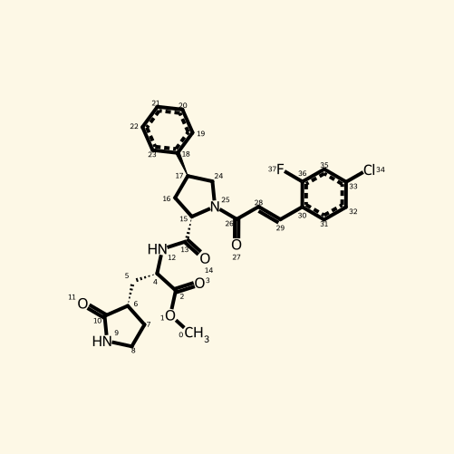 COC(=O)[C@H](C[C@@H]1CCNC1=O)NC(=O)[C@@H]1C[C@@H](c2ccccc2)CN1C(=O)/C=C/c1ccc(Cl)cc1F